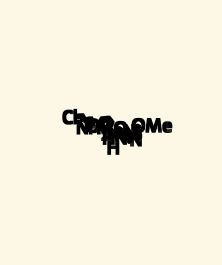 COc1cncc(NC(=O)Nc2cccc(OCC(N)CCl)c2)n1